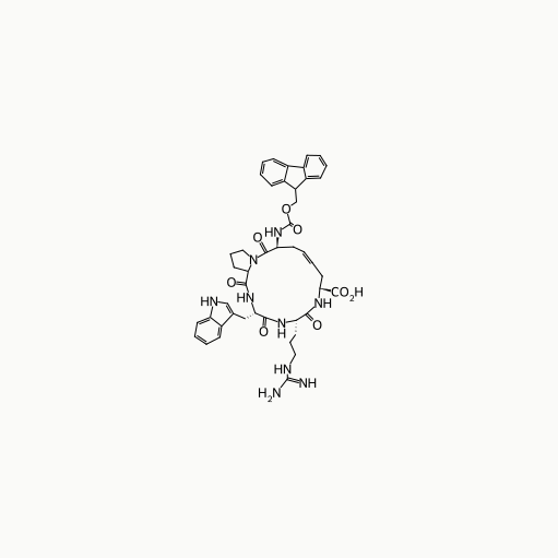 N=C(N)NCCC[C@@H]1NC(=O)[C@H](Cc2c[nH]c3ccccc23)NC(=O)C2CCCN2C(=O)[C@@H](NC(=O)OCC2c3ccccc3-c3ccccc32)C/C=C\C[C@@H](C(=O)O)NC1=O